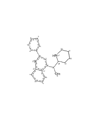 OC(c1cc(-c2ccccc2)nc2ccccc12)C1CCCCN1